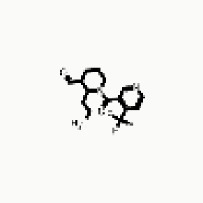 CCCC1C(C=O)CCCN1C(=O)c1cnccc1C(F)(F)F